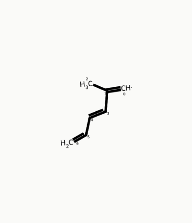 [CH]=C(C)C=CC=C